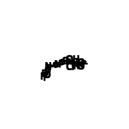 CN(CCC1CCN(c2ccc(OCC(O)CCn3cc([N+](=O)[O-])nc3Cl)cc2)CC1)c1ccc(OC(F)(F)F)cc1